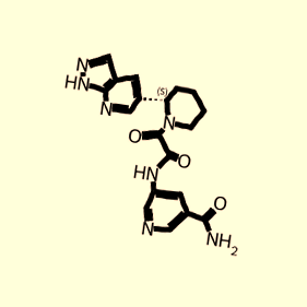 NC(=O)c1cncc(NC(=O)C(=O)N2CCCC[C@H]2c2cnc3[nH]ncc3c2)c1